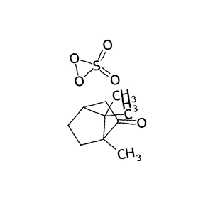 CC12CCC(CC1=O)C2(C)C.O=S1(=O)OO1